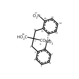 O=C(O)C(Cc1ccccc1[N+](=O)[O-])(Cc1ccccc1[N+](=O)[O-])C(=O)O